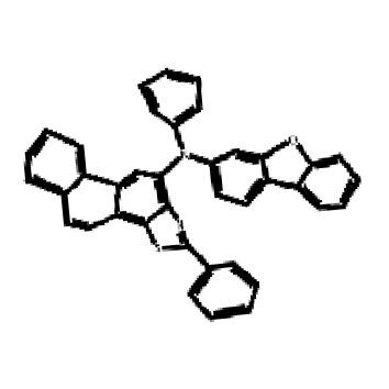 c1ccc(-c2nc3c(N(c4ccccc4)c4ccc5c(c4)oc4ccccc45)cc4c5ccccc5ccc4c3s2)cc1